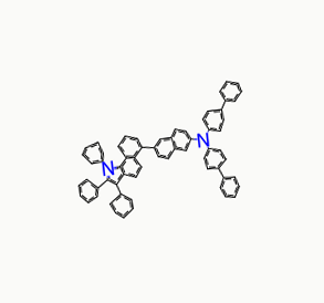 c1ccc(-c2ccc(N(c3ccc(-c4ccccc4)cc3)c3ccc4cc(-c5cccc6c5ccc5c(-c7ccccc7)c(-c7ccccc7)n(-c7ccccc7)c56)ccc4c3)cc2)cc1